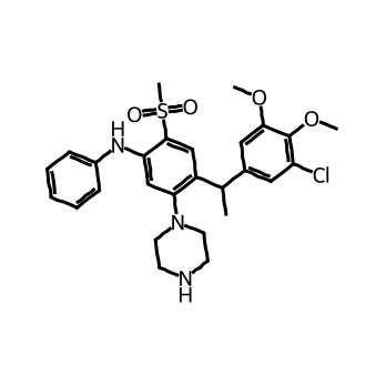 COc1cc(C(C)c2cc(S(C)(=O)=O)c(Nc3ccccc3)cc2N2CCNCC2)cc(Cl)c1OC